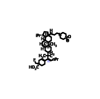 CCC/C=C(/C1=CC[C@@](CF)(C(=O)O)CC1)C(C)(C)[C@@H]1CC[C@]2(C)[C@H](CC[C@@H]3[C@H]4[C@H](C(C)C)CC[C@]4(NCCN4CCS(=O)(=O)CC4)CC[C@]32C)C1